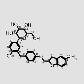 Cc1ccc2c(c1)CC(COc1ccc(Cc3cc([C@@H]4O[C@H](CO)[C@@H](O)[C@H](O)[C@H]4O)ccc3Cl)cc1)O2